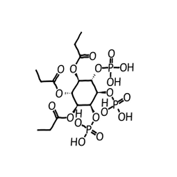 CCC(=O)O[C@@H]1[C@@H](OC(=O)CC)[C@H](OP(=O)(O)O)[C@@H](OP(=O)(O)O)[C@@H](OP(=O)(O)O)[C@H]1OC(=O)CC